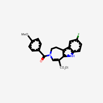 CCOC(=O)C1=CN(C(=O)c2ccc(OC)cc2)CCc2c1[nH]c1ccc(F)cc21